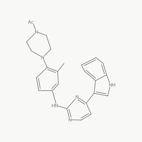 CC(=O)N1CCN(c2ccc(Nc3nccc(-c4c[nH]c5ccccc45)n3)cc2C)CC1